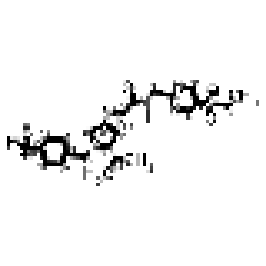 CCS(=O)(=O)c1cnc(CNC(=O)c2nc3c(s2)CN(Cc2ccc(C(F)(F)F)cc2)[C@H]3C(C)C)nc1